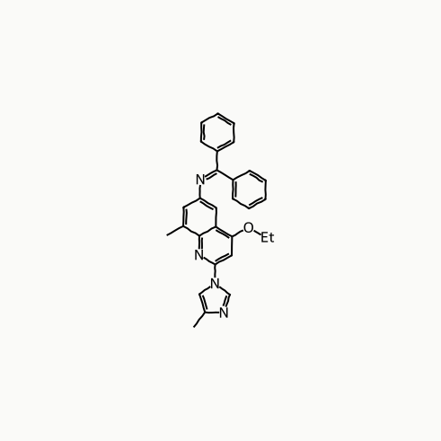 CCOc1cc(-n2cnc(C)c2)nc2c(C)cc(N=C(c3ccccc3)c3ccccc3)cc12